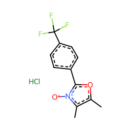 Cc1oc(-c2ccc(C(F)(F)F)cc2)[n+]([O-])c1C.Cl